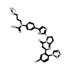 COCCCN(C(=O)O)c1ccc(-c2cnc([C@@H]3CCc4nc(-c5cc(Cl)ccc5-n5cnnn5)cc(=O)n43)[nH]2)cc1